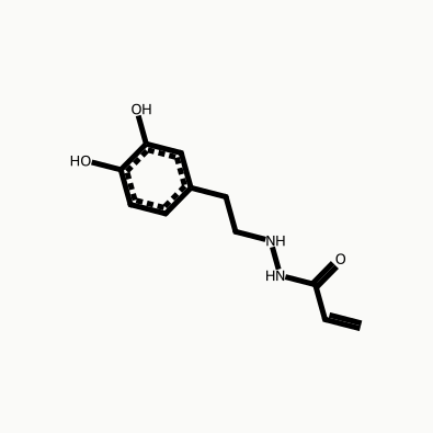 C=CC(=O)NNCCc1ccc(O)c(O)c1